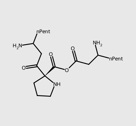 CCCCCC(N)CC(=O)OC(=O)[C@]1(C(=O)CC(N)CCCCC)CCCN1